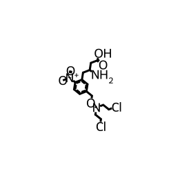 NC(CC(=O)O)Cc1cc(CON(CCCl)CCCl)ccc1[N+](=O)[O-]